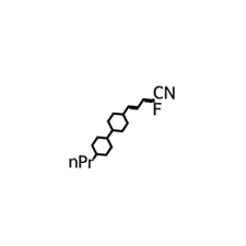 CCCC1CCC(C2CCC(C=CC=C(F)C#N)CC2)CC1